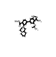 CNC(=O)c1ccc(-c2cc(O[C@H](C)C(F)(F)F)c3c(N)n[nH]c3c2)cc1N1CCN2CCCCC2C1